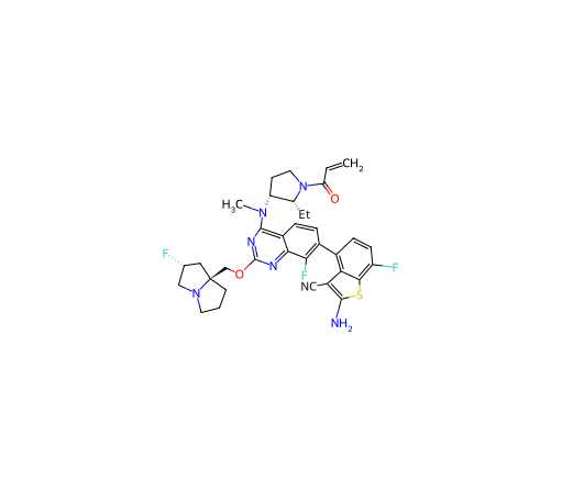 C=CC(=O)N1CC[C@@H](N(C)c2nc(OC[C@@]34CCCN3C[C@H](F)C4)nc3c(F)c(-c4ccc(F)c5sc(N)c(C#N)c45)ccc23)[C@H]1CC